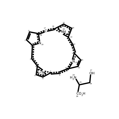 C1=Cc2cc3ccc(cc4nc(cc5ccc(cc1n2)[nH]5)C=C4)[nH]3.NC(CO)C(=O)O